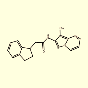 CC(C)(C)c1c(NC(=O)CC2CCc3ccccc32)nn2cccnc12